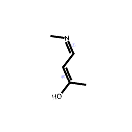 C/N=C\C=C(/C)O